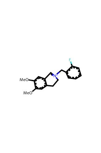 COc1cc2c(cc1OC)CC[N+](Cc1ccccc1F)=C2